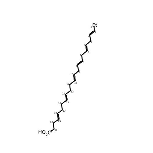 CC/C=C/C/C=C/C/C=C/C/C=C/CC/C=C/CC/C=C/CCC(=O)O